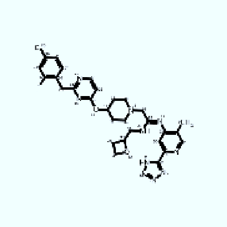 Cc1cnc(-c2nnn[nH]2)cc1/N=C(/CN1CCC(Oc2ccnc(Cc3ccc(Cl)cc3F)n2)CC1)NCC1CCO1